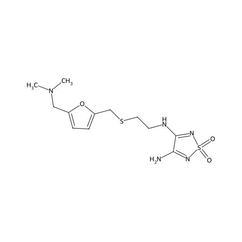 CN(C)Cc1ccc(CSCCNC2=NS(=O)(=O)N=C2N)o1